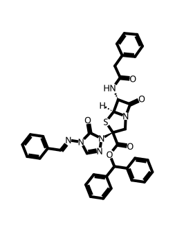 O=C(Cc1ccccc1)N[C@@H]1C(=O)N2C[C@@](C(=O)OC(c3ccccc3)c3ccccc3)(n3ncn(/N=C/c4ccccc4)c3=O)S[C@@H]12